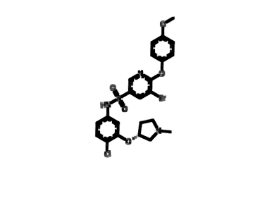 COc1ccc(Oc2ncc(S(=O)(=O)Nc3ccc(Cl)c(O[C@@H]4CCN(C)C4)c3)cc2Br)cc1